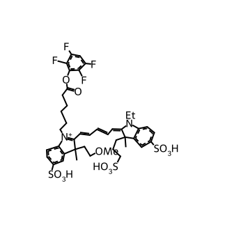 CCN1/C(=C/C=C/C=C/C2=[N+](CCCCCC(=O)Oc3c(F)c(F)cc(F)c3F)c3ccc(S(=O)(=O)O)cc3C2(C)CCOC)C(C)(CCCS(=O)(=O)O)c2cc(S(=O)(=O)O)ccc21